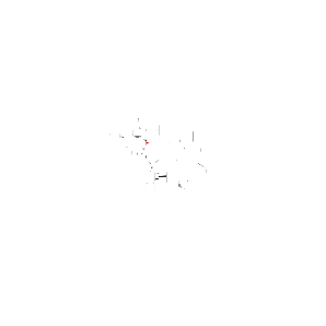 CO[C@H]1C(=O)O[C@H]2O[C@]34C(=O)OC5[C@H](O)[C@@H](C(C)(C)C)C21C53[C@@H](O)C1OC(=O)[C@@H](C)[C@@]14O